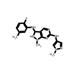 Cc1ccc(F)c(NC2NN(C)c3nc(Nc4cnn(C)c4)ncc32)c1